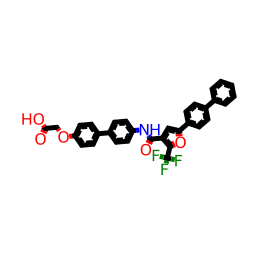 O=C(O)COc1ccc(-c2ccc(NC(=O)c3cc(-c4ccc(-c5ccccc5)cc4)oc3C(F)(F)F)cc2)cc1